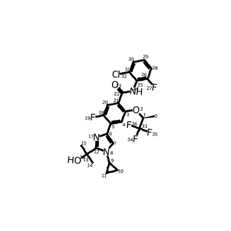 C[C@H](Oc1cc(-c2cn(C3CC3)c(C(C)(C)O)n2)c(F)cc1C(=O)Nc1c(F)cccc1Cl)C(F)(F)F